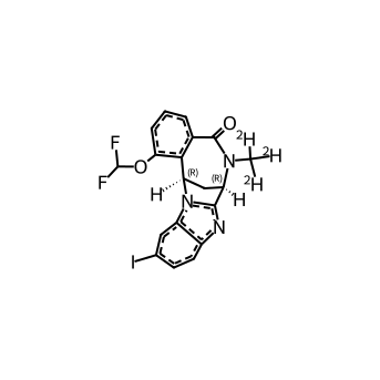 [2H]C([2H])([2H])N1C(=O)c2cccc(OC(F)F)c2[C@H]2C[C@@H]1c1nc3ccc(I)cc3n12